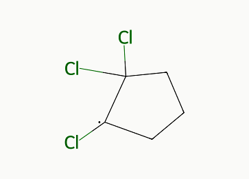 Cl[C]1CCCC1(Cl)Cl